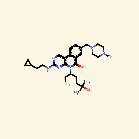 CCC(CCC(C)(C)O)n1c(=O)c2cc(CN3CCN(C)CC3)ccc2c2cnc(NCCC3CC3)nc21